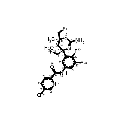 C[C@@H]1[C@@](C)(CF)SC(N)=N[C@]1(CF)c1cc(NC(=O)c2ccc(Cl)cn2)cc(F)c1F